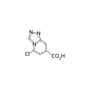 O=C(O)c1cc(Cl)n2cnnc2c1